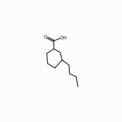 CCCC[C]1CCCC(C(=O)O)C1